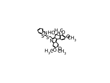 COc1ccc(-c2c(C(=O)O)c(CSc3nc4ccccc4s3)nc3cc(OC)c(OC)cc23)cc1OC